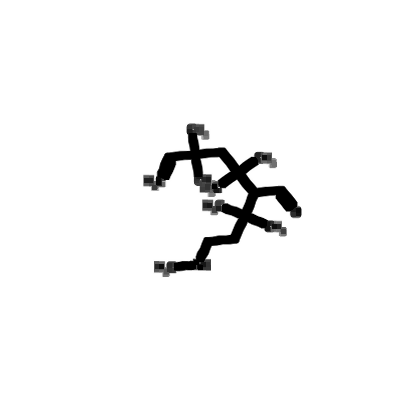 C=CC(C)(C)CC(C)(C)C(C=O)C(C)(C)CCNC